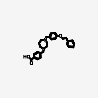 O=C(O)c1ccc(CN2CCCN(Cc3ccc(OCCc4ccccc4)cc3)CC2)cc1